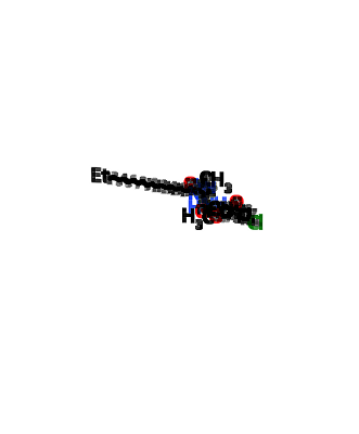 CCC=CCC=CCC=CCC=CCC=CCCCC(=O)Nc1nc(C)ncc1CNC(=O)C(C)(C)Oc1ccc(C(=O)c2ccc(Cl)cc2)cc1